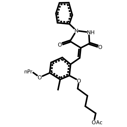 CCCOc1ccc(/C=C2/C(=O)NN(c3ccccc3)C2=O)c(OCCCCOC(C)=O)c1C